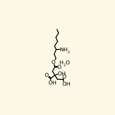 CCCCCC(N)CCOC(=O)CC(O)(CC(=O)O)C(=O)O.O